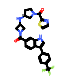 O=C(c1ccc2c(-c3ccc(C(F)(F)F)cc3)c[nH]c2c1)N1CC(N[C@H]2CCN(C(=O)c3nccs3)C2)C1